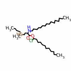 CCCCCCCCCCCCCCCCN[C@H](CC[SH](C)CCCC)C(=O)OC(Cl)CCCCCCCCCCC